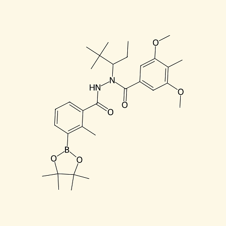 CCC(N(NC(=O)c1cccc(B2OC(C)(C)C(C)(C)O2)c1C)C(=O)c1cc(OC)c(C)c(OC)c1)C(C)(C)C